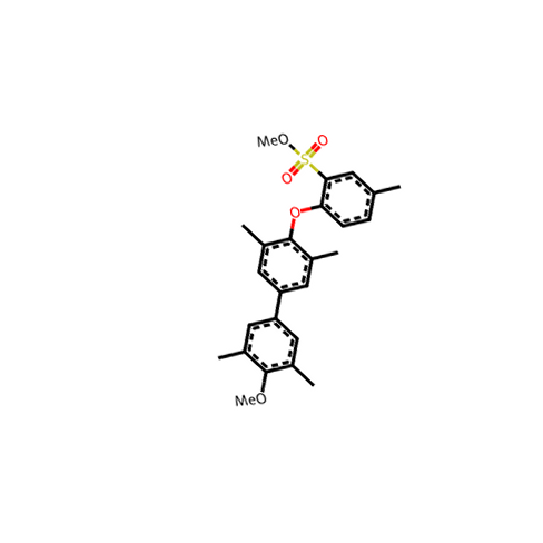 COc1c(C)cc(-c2cc(C)c(Oc3ccc(C)cc3S(=O)(=O)OC)c(C)c2)cc1C